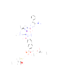 CCN1CC[C@H]2CC[C@@H](C(=O)N3C[C@H](c4ccccc4)[C@@H](C#N)C3)N2C(=O)C(NC(=O)c2ccc3ccc(C4(F)C(CSC(=O)C(C)(C)C)OP4(=O)OCCSC(=O)C(C)(C)C)cc3c2)C1